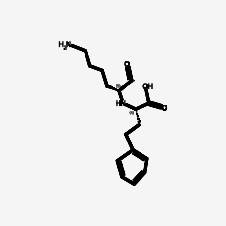 NCCCC[C@@H]([C]=O)N[C@@H](CCc1ccccc1)C(=O)O